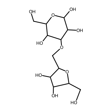 OCC1OC(COC2C(O)C(O)OC(CO)C2O)C(O)C1O